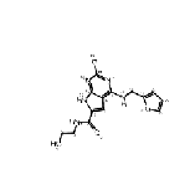 O=C(NCCO)c1cc2c(NCc3ccco3)nc(Cl)nc2[nH]1